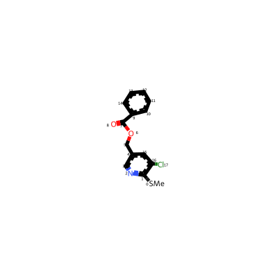 CSc1ncc(COC(=O)c2ccccc2)cc1Cl